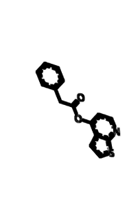 O=C(Cc1ccccc1)Oc1ccnc2sccc12